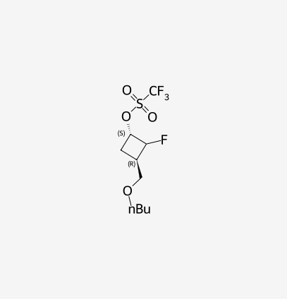 CCCCOC[C@H]1C[C@H](OS(=O)(=O)C(F)(F)F)C1F